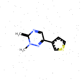 C=C1N=CC(c2ccsc2)=NN1C